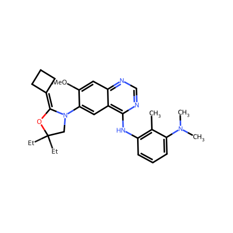 CCC1(CC)CN(c2cc3c(Nc4cccc(N(C)C)c4C)ncnc3cc2OC)C(=C2CCC2)O1